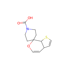 O=C(O)N1CCC2(CC1)OC=CC1C=CSC12